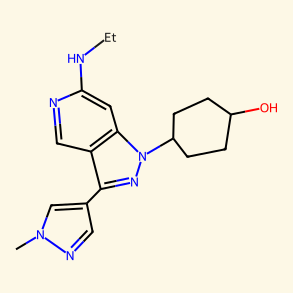 CCNc1cc2c(cn1)c(-c1cnn(C)c1)nn2C1CCC(O)CC1